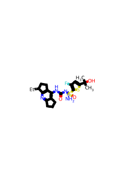 CCC1CCc2c1nc1c(c2NC(=O)N=[S@](N)(=O)c2sc(C(C)(C)O)cc2F)CCC1